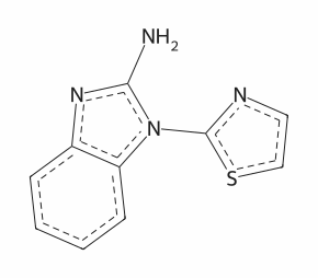 Nc1nc2ccccc2n1-c1nccs1